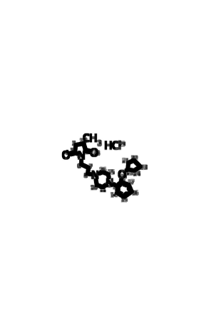 CC1CC(=O)N(CCCN2CCN(c3ccccc3OC3CCCC3)CC2)C1=O.Cl